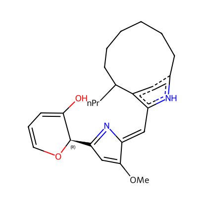 CCCC1CCCCCCc2cc1c(C=C1N=C([C@H]3OC=CC=C3O)C=C1OC)[nH]2